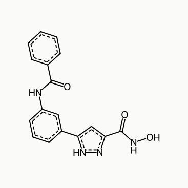 O=C(Nc1cccc(-c2cc(C(=O)NO)n[nH]2)c1)c1ccccc1